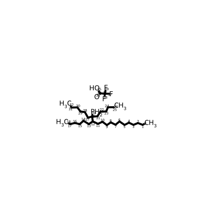 CCCCCCCCCCCCC(CCCCCC)C(P)(CCCCCC)CCCCCC.O=C(O)C(F)(F)F